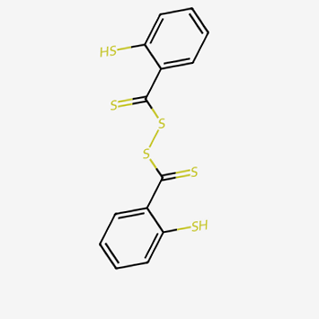 S=C(SSC(=S)c1ccccc1S)c1ccccc1S